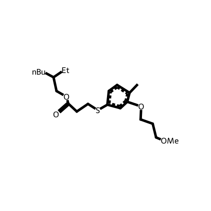 CCCCC(CC)COC(=O)CCSc1ccc(C)c(OCCCOC)c1